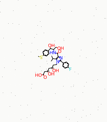 CSc1ccc(C(O)C(CO)NC(=O)c2nc(-c3ccc(F)cc3)n(CC[C@@H](O)C[C@@H](O)CC(=O)O)c2C(C)C)cc1